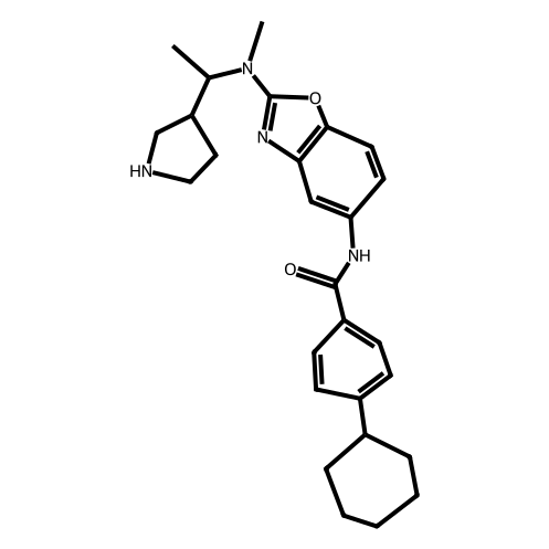 CC(C1CCNC1)N(C)c1nc2cc(NC(=O)c3ccc(C4CCCCC4)cc3)ccc2o1